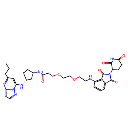 CCCc1cc(N[C@@H]2CCC(NC(=O)CCOCCOCCNc3cccc4c3C(=O)N(C3CCC(=O)NC3=O)C4=O)C2)n2nccc2n1